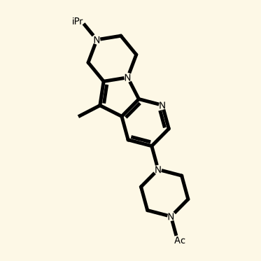 CC(=O)N1CCN(c2cnc3c(c2)c(C)c2n3CCN(C(C)C)C2)CC1